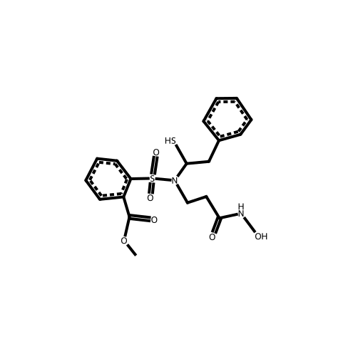 COC(=O)c1ccccc1S(=O)(=O)N(CCC(=O)NO)C(S)Cc1ccccc1